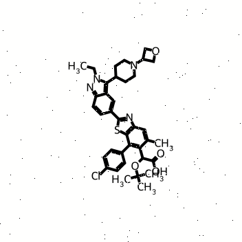 CCn1nc2ccc(-c3nc4cc(C)c(C(OC(C)(C)C)C(=O)O)c(-c5ccc(Cl)cc5)c4s3)cc2c1C1CCN(C2COC2)CC1